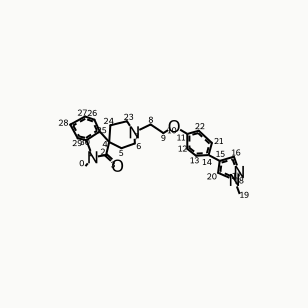 CN1C(=O)C2(CCN(CCOc3ccc(-c4cnn(C)c4)cc3)CC2)c2ccccc21